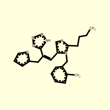 CCCCc1ncc(C=C(Cc2cccs2)c2nnn[nH]2)n1Cc1ccccc1C